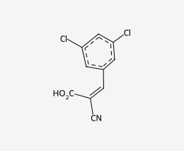 N#CC(=Cc1cc(Cl)cc(Cl)c1)C(=O)O